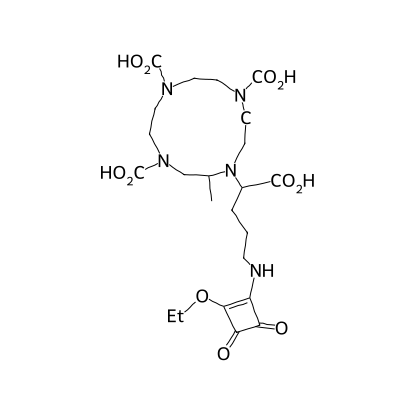 CCOc1c(NCCCC(C(=O)O)N2CCN(C(=O)O)CCN(C(=O)O)CCN(C(=O)O)CC2C)c(=O)c1=O